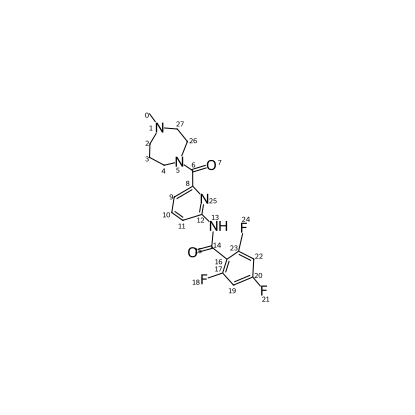 CN1CCCN(C(=O)c2cccc(NC(=O)c3c(F)cc(F)cc3F)n2)CC1